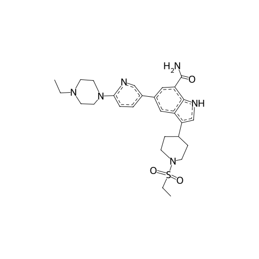 CCN1CCN(c2ccc(-c3cc(C(N)=O)c4[nH]cc(C5CCN(S(=O)(=O)CC)CC5)c4c3)cn2)CC1